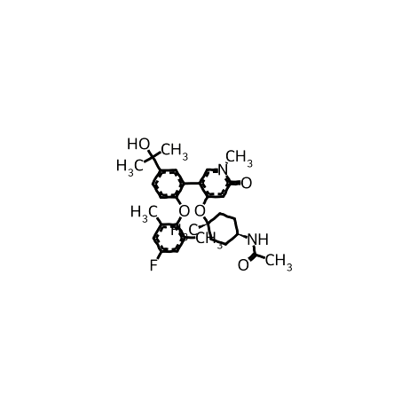 CC(=O)N[C@H]1CC[C@](C)(Oc2cc(=O)n(C)cc2-c2cc(C(C)(C)O)ccc2Oc2c(C)cc(F)cc2C)CC1